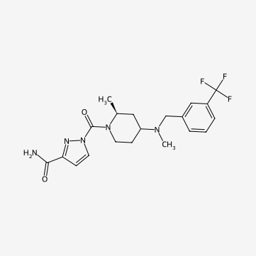 C[C@H]1CC(N(C)Cc2cccc(C(F)(F)F)c2)CCN1C(=O)n1ccc(C(N)=O)n1